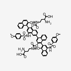 COc1ccc(S(=O)(=O)Nc2cc(-c3c(OC(=O)NCCC(N)C(=O)O)cc(-c4ccc5c(OC(=O)NCCC(N)C(=O)O)c(-c6c(O)ccc7ccccc67)cc(NS(=O)(=O)c6ccc(OC)cc6)c5c4)c4ccccc34)c(O)c3ccccc23)cc1